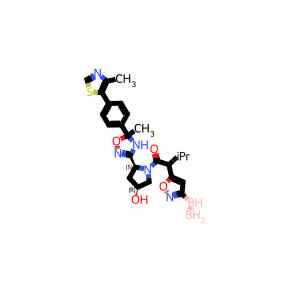 BBc1cc(C(C(=O)N2C[C@H](O)C[C@H]2C2=NOC(C)(c3ccc(-c4scnc4C)cc3)N2)C(C)C)on1